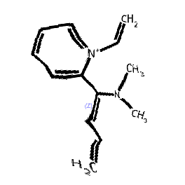 C=C/C=C(/c1cccc[n+]1C=C)N(C)C